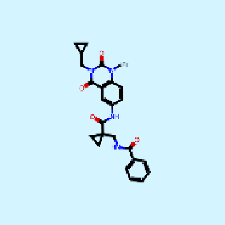 CC(C)n1c(=O)n(CC2CC2)c(=O)c2cc(NC(=O)C3(CNC(=O)c4ccccc4)CC3)ccc21